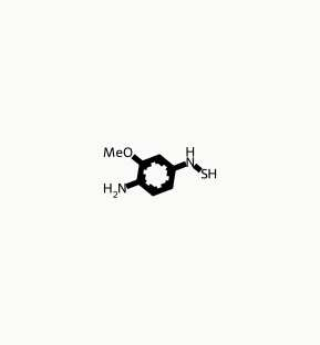 COc1cc(NS)ccc1N